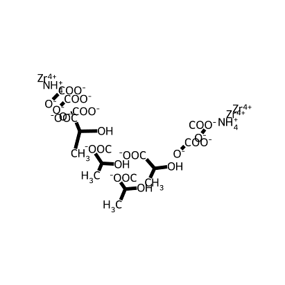 CC(O)C(=O)[O-].CC(O)C(=O)[O-].CC(O)C(=O)[O-].CC(O)C(=O)[O-].O=C([O-])[O-].O=C([O-])[O-].O=C([O-])[O-].O=C([O-])[O-].O=C([O-])[O-].[NH4+].[NH4+].[Zr+4].[Zr+4].[Zr+4]